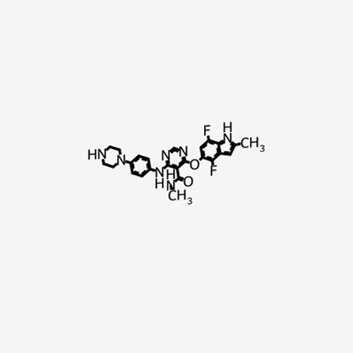 CNC(=O)c1c(Nc2ccc(N3CCNCC3)cc2)ncnc1Oc1cc(F)c2[nH]c(C)cc2c1F